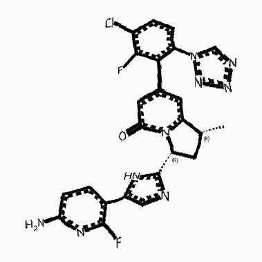 C[C@@H]1C[C@H](c2ncc(-c3ccc(N)nc3F)[nH]2)n2c1cc(-c1c(-n3cnnn3)ccc(Cl)c1F)cc2=O